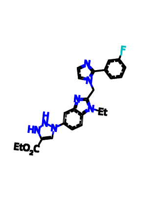 CCOC(=O)C1=CN(c2ccc3c(c2)nc(Cn2ccnc2-c2cccc(F)c2)n3CC)NN1